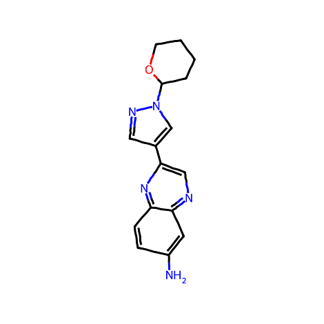 Nc1ccc2nc(-c3cnn(C4CCCCO4)c3)cnc2c1